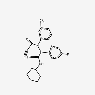 C#CC(=O)N(c1cccc(C(F)(F)F)c1)C(C(=O)NC1CCCCC1)c1ccc(F)cc1